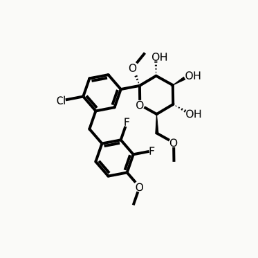 COC[C@H]1O[C@@](OC)(c2ccc(Cl)c(Cc3ccc(OC)c(F)c3F)c2)[C@H](O)[C@@H](O)[C@@H]1O